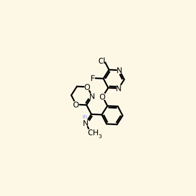 C/N=C(/C1=NOCCO1)c1ccccc1Oc1ncnc(Cl)c1F